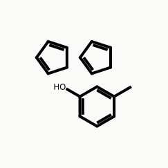 C1=CCC=C1.C1=CCC=C1.Cc1cccc(O)c1